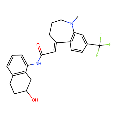 CN1CCC/C(=C\C(=O)Nc2cccc3c2CC(O)CC3)c2ccc(C(F)(F)F)cc21